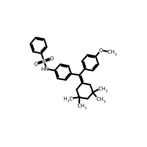 COc1ccc(C(=C2CC(C)(C)CC(C)(C)C2)c2ccc(NS(=O)(=O)c3ccccc3)cc2)cc1